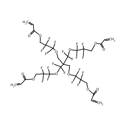 C=CC(=O)OCC(F)(F)C(F)(F)OCC(COC(F)(F)C(F)(F)COC(=O)C=C)(C(F)(F)OC(F)(F)C(F)(F)COC(=O)C=C)C(F)(F)OC(F)(F)C(F)(F)COC(=O)C=C